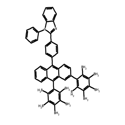 Bc1c(B)c(B)c(-c2ccc3c(-c4ccc(-c5nc6ccccc6n5-c5ccccc5)cc4)c4ccccc4c(-c4c(B)c(B)c(B)c(B)c4B)c3c2)c(B)c1B